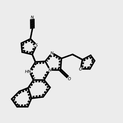 N#Cc1ccc(-c2[nH]c3c4ccccc4ccc3n3c(=O)c(Cc4ccco4)nc2-3)s1